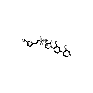 O=C1[C@@H](NS(=O)(=O)C=Cc2ccc(Cl)s2)CCN1c1ccc(-c2ccncc2Cl)cc1F